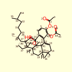 CC(=O)Oc1ccc(C(=O)O)c(C2=CCC(C)(C)[C@@H]3CC[C@@H]4[C@]5(CC[C@]6(C)[C@@H]([C@H](C)CCCC(C)C)CC[C@@]46C)C[C@]235)c1OC(C)=O